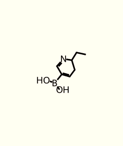 CCC1CC=C(B(O)O)C=N1